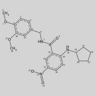 COc1ccc(CNC(=O)c2cc([N+](=O)[O-])ccc2NC2CCCC2)cc1OC